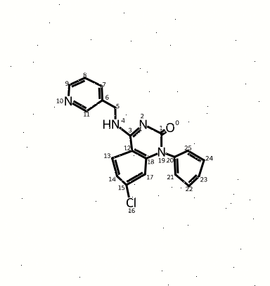 O=c1nc(NCc2cccnc2)c2ccc(Cl)cc2n1-c1ccccc1